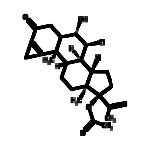 CC(=O)O[C@]1(C(C)=O)CC[C@H]2[C@@H]3[C@H](Cl)[C@@H](O)C4CC(=O)C5=C(C5)[C@]4(C)[C@H]3CC[C@@]21C